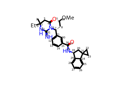 CCC1(C)CC(=O)N([C@H](CCOC)c2cccc(C(=O)N[C@H]3CC4(CC4)c4ccccc43)c2)C(=N)N1